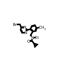 CCN(Cc1cc(C)ccc1-c1nccc(CBr)n1)C(=O)C1CC1